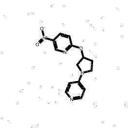 O=[N+]([O-])c1ccc(OC2CCN(c3ccncc3)C2)nc1